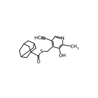 C#Cc1cnc(C)c(O)c1CSC(=O)C12CC3CC(CC(C3)C1)C2